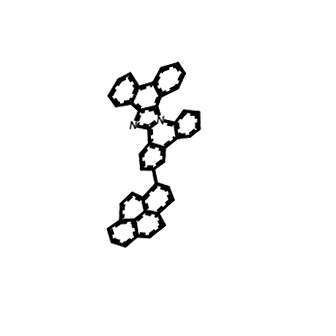 c1cc2ccc3ccc(-c4ccc5c(c4)c4ccccc4n4c5nc5c6ccccc6c6ccccc6c54)c4ccc(c1)c2c34